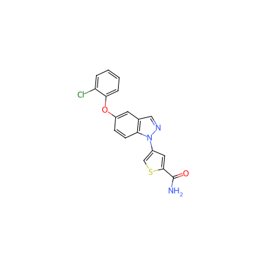 NC(=O)c1cc(-n2ncc3cc(Oc4ccccc4Cl)ccc32)cs1